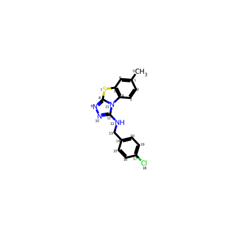 Cc1ccc2c(c1)sc1nnc(NCc3ccc(Cl)cc3)n12